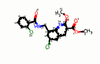 COC(=O)c1cc2cc(Cl)cc(CNC(=O)c3ccccc3Cl)c2nc1OC